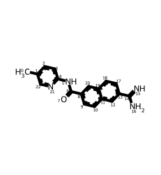 Cc1ccc(NC(=O)c2ccc3cc(C(=N)N)ccc3c2)nc1